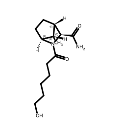 C[C@H]1[C@@H]2CC[C@@H]1N(C(=O)CCCCCO)[C@@H]2C(N)=O